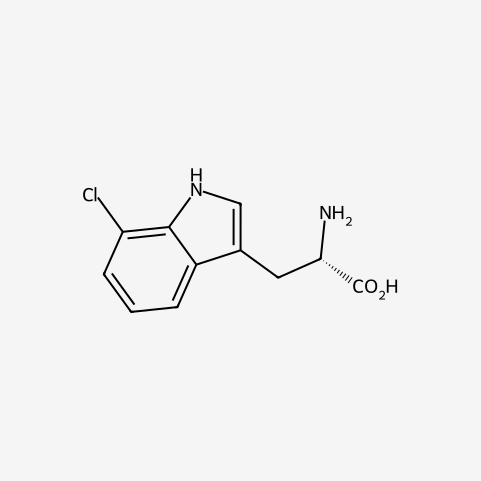 N[C@@H](Cc1c[nH]c2c(Cl)cccc12)C(=O)O